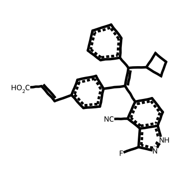 N#Cc1c(C(=C(c2ccccc2)C2CCC2)c2ccc(C=CC(=O)O)cc2)ccc2[nH]nc(F)c12